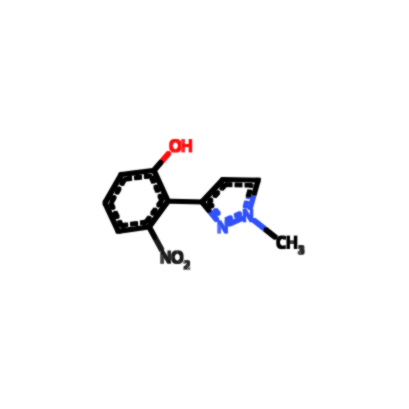 Cn1ccc(-c2c(O)cccc2[N+](=O)[O-])n1